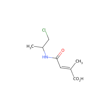 CC(=CC(=O)NC(C)CCl)C(=O)O